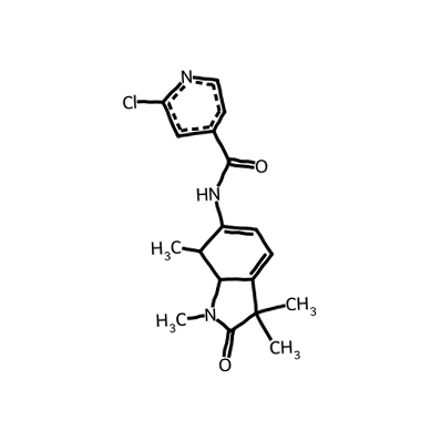 CC1C(NC(=O)c2ccnc(Cl)c2)=CC=C2C1N(C)C(=O)C2(C)C